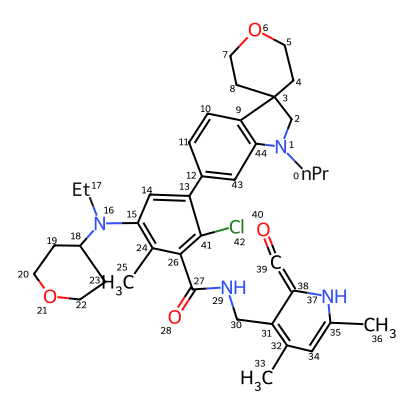 CCCN1CC2(CCOCC2)c2ccc(-c3cc(N(CC)C4CCOCC4)c(C)c(C(=O)NCC4=C(C)C=C(C)NC4=C=O)c3Cl)cc21